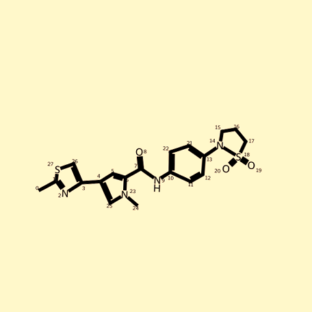 Cc1nc(-c2cc(C(=O)Nc3ccc(N4CCCS4(=O)=O)cc3)n(C)c2)cs1